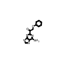 Nc1nc(C(=O)COc2ccccc2)nc2c1N=C[N]2